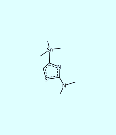 CN(C)c1n[c]([Sn]([CH3])([CH3])[CH3])cs1